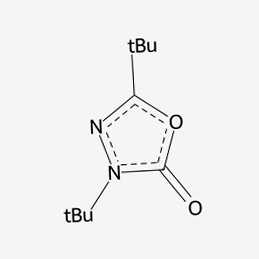 CC(C)(C)c1nn(C(C)(C)C)c(=O)o1